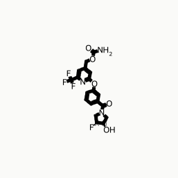 NC(=O)OCc1cc(Oc2cccc(C(=O)N3C[C@@H](O)[C@H](F)C3)c2)nc(C(F)(F)F)c1